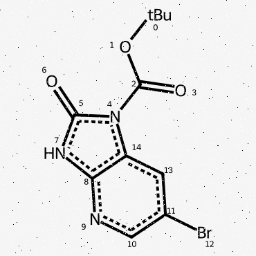 CC(C)(C)OC(=O)n1c(=O)[nH]c2ncc(Br)cc21